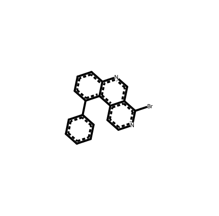 Brc1nccc2c1cnc1cccc(-c3ccccc3)c12